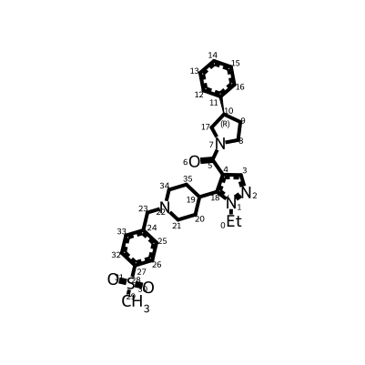 CCn1ncc(C(=O)N2CC[C@H](c3ccccc3)C2)c1C1CCN(Cc2ccc(S(C)(=O)=O)cc2)CC1